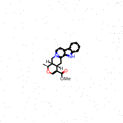 COC(=O)C1=CO[C@@H](C)[C@@H]2C[n+]3ccc4c([nH]c5ccccc54)c3C[C@H]12